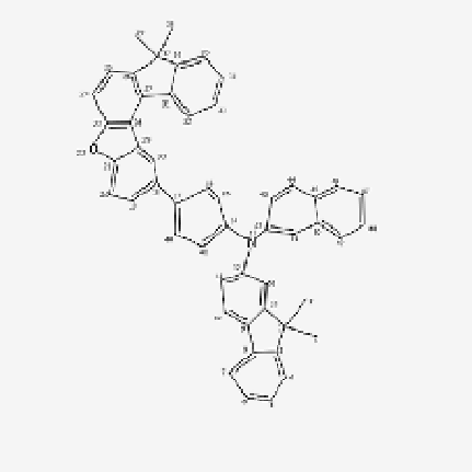 CC1(C)c2ccccc2-c2ccc(N(c3ccc(-c4ccc5oc6ccc7c(c6c5c4)-c4ccccc4C7(C)C)cc3)c3ccc4ccccc4c3)cc21